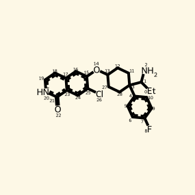 CCC(N)C1(c2ccc(F)cc2)CCC(Oc2cc3cc[nH]c(=O)c3cc2Cl)CC1